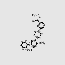 COC(=O)c1cccc(N2CCN(c3nc(-c4ccccc4O)nnc3N)CC2)n1